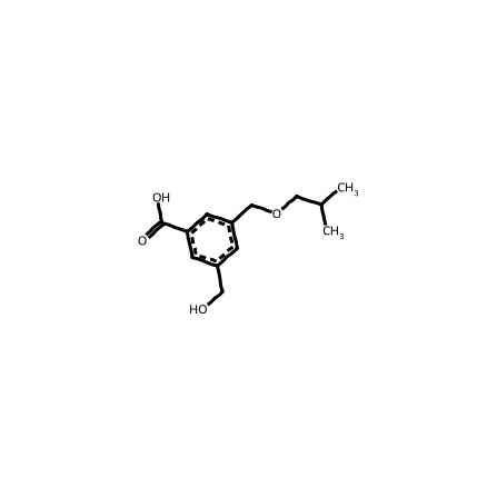 CC(C)COCc1cc(CO)cc(C(=O)O)c1